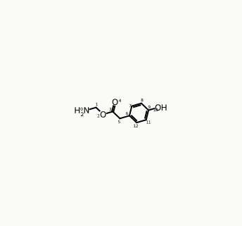 NCOC(=O)Cc1ccc(O)cc1